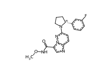 CONC(=O)c1cnc2ccc(N3CCC[C@@H]3c3cccc(F)c3)nn12